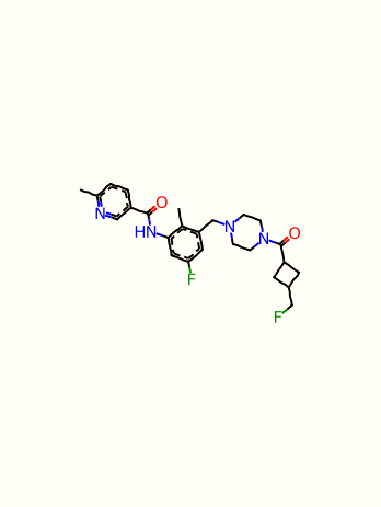 Cc1ccc(C(=O)Nc2cc(F)cc(CN3CCN(C(=O)C4CC(CF)C4)CC3)c2C)cn1